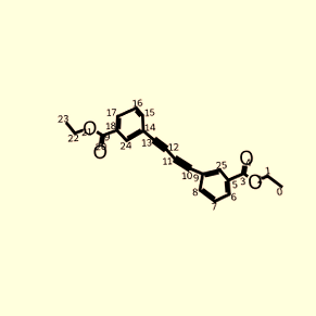 CCOC(=O)c1cccc(C#CC#Cc2cccc(C(=O)OCC)c2)c1